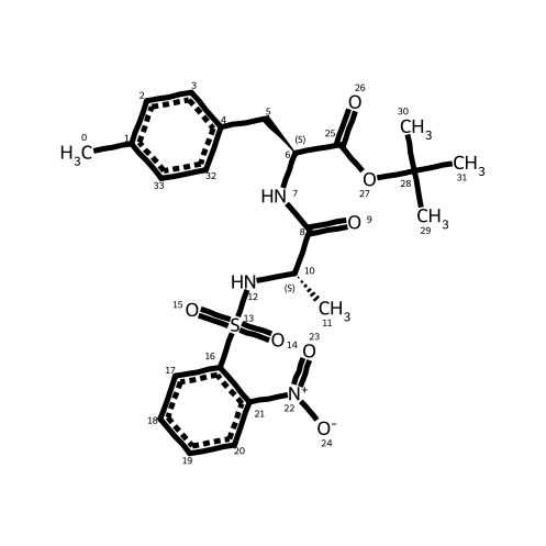 Cc1ccc(C[C@H](NC(=O)[C@H](C)NS(=O)(=O)c2ccccc2[N+](=O)[O-])C(=O)OC(C)(C)C)cc1